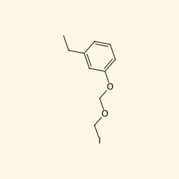 CCc1cccc(OCOCI)c1